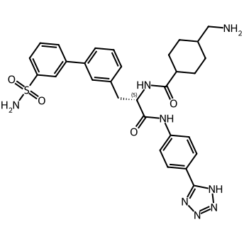 NCC1CCC(C(=O)N[C@@H](Cc2cccc(-c3cccc(S(N)(=O)=O)c3)c2)C(=O)Nc2ccc(-c3nnn[nH]3)cc2)CC1